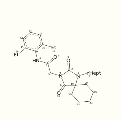 CCCCCCCN1C(=O)N(CC(=O)Nc2c(CC)cccc2CC)C(=O)C12CCCCC2